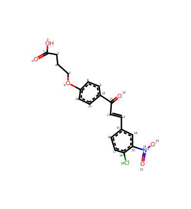 O=C(O)CCCOc1ccc(C(=O)/C=C/c2ccc(Cl)c([N+](=O)[O-])c2)cc1